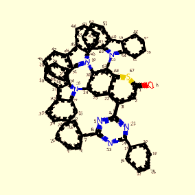 O=c1cc(-c2nc(-c3ccccc3)nc(-c3ccccc3)n2)c2cc(-n3c4ccccc4c4ccccc43)c(-n3c4ccccc4c4ccccc43)c(-n3c4ccccc4c4ccccc43)c2s1